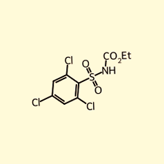 CCOC(=O)NS(=O)(=O)c1c(Cl)cc(Cl)cc1Cl